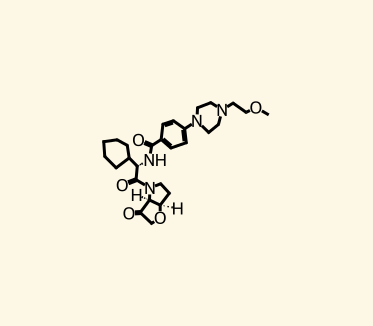 COCCN1CCN(c2ccc(C(=O)N[C@H](C(=O)N3CC[C@H]4OCC(=O)[C@H]43)C3CCCCC3)cc2)CC1